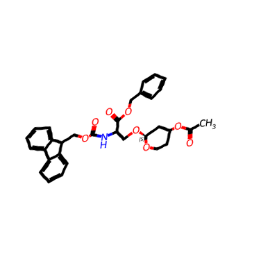 CC(=O)OC1CCO[C@@H](OCC(NC(=O)OCC2c3ccccc3-c3ccccc32)C(=O)OCc2ccccc2)C1